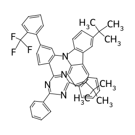 CC(C)(C)c1ccc2c(c1)c1cc(C(C)(C)C)ccc1n2-c1cc(-c2ccccc2C(F)(F)F)ccc1-c1nc(-c2ccccc2)nc(-c2ccccc2)n1